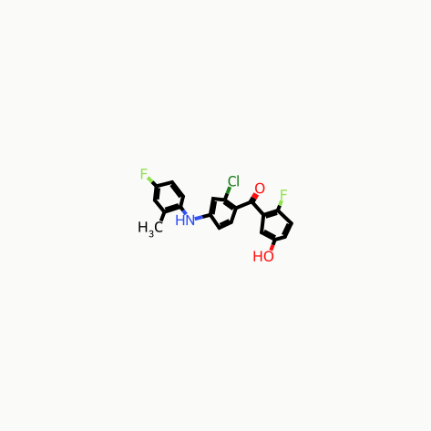 Cc1cc(F)ccc1Nc1ccc(C(=O)c2cc(O)ccc2F)c(Cl)c1